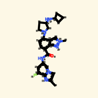 Cc1cn2cc(NC(=O)c3ccc(N4CCC(NC5CCC5)C4)c4cn(C)nc34)cc(F)c2n1